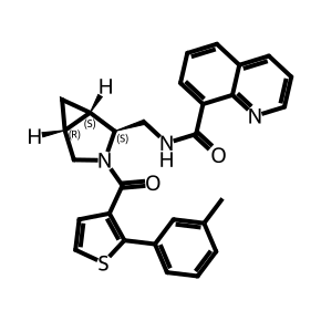 Cc1cccc(-c2sccc2C(=O)N2C[C@@H]3C[C@@H]3[C@H]2CNC(=O)c2cccc3cccnc23)c1